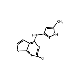 Cc1cc(Nc2nc(Cl)nc3sccc23)n[nH]1